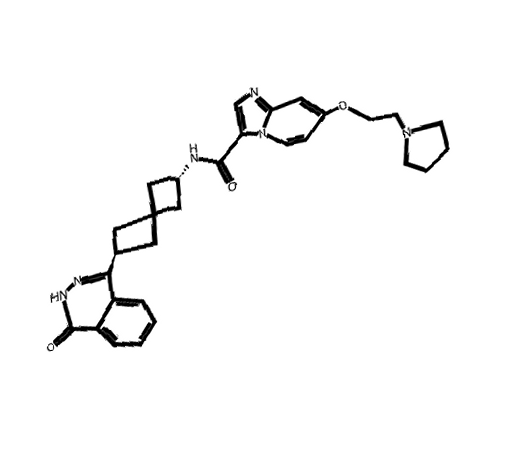 O=C(N[C@H]1CC2(C1)C[C@H](c1n[nH]c(=O)c3ccccc31)C2)c1cnc2cc(OCCN3CCCC3)ccn12